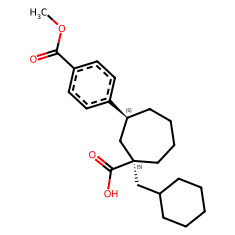 COC(=O)c1ccc([C@H]2CCCC[C@@](CC3CCCCC3)(C(=O)O)C2)cc1